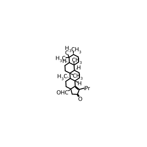 CC(C)C1=C2[C@H]3CC[C@@H]4[C@@]5(C)CC[C@H](C)C(C)(C)[C@@H]5CC[C@@]4(C)[C@]3(C)CC[C@@]2(C=O)CC1=O